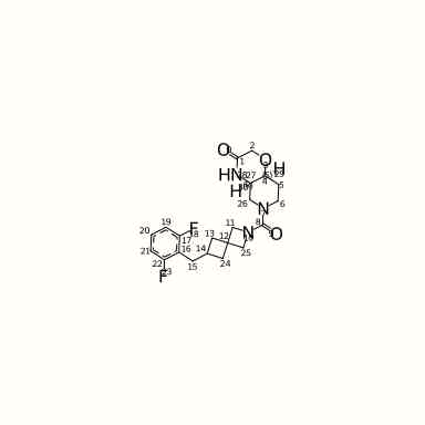 O=C1CO[C@H]2CCN(C(=O)N3CC4(CC(Cc5c(F)cccc5F)C4)C3)C[C@H]2N1